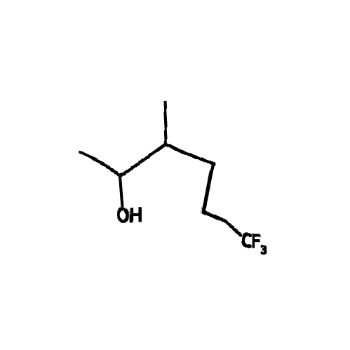 CC(O)C(C)CCC(F)(F)F